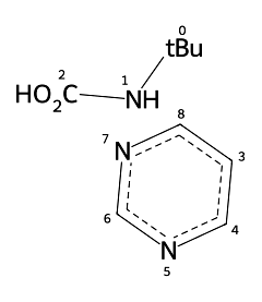 CC(C)(C)NC(=O)O.c1cncnc1